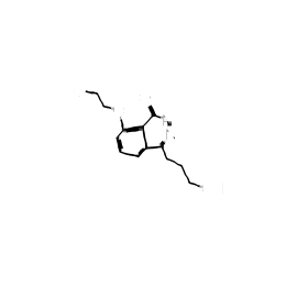 CCCCc1n[nH]c(=O)c2c(OCCC)cccc12